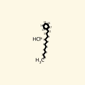 CCCCCCCCCCCCc1ccccc1.Cl